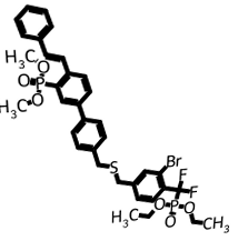 CCOP(=O)(OCC)C(F)(F)c1ccc(CSCc2ccc(-c3ccc(/C=C/c4ccccc4)c(P(=O)(OC)OC)c3)cc2)cc1Br